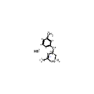 Br.CC[C@@H](/N=C(/N)S)Oc1cccc(C)c1